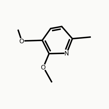 COc1ccc(C)nc1OC